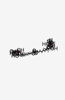 CC(C)(CCCCCCO[N+](=O)OCCCCCCC(C)(C)c1cc(O)c([C@@H]2CC(=O)[C@@H]3C[C@@H]2C3(C)C)c(O)c1)c1cc(O)c([C@@H]2CC(=O)[C@@H]3C[C@@H]2C3(C)C)c(O)c1